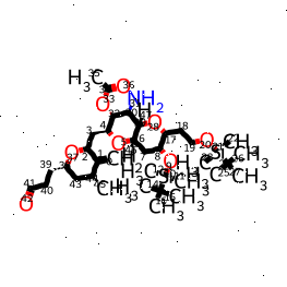 C=C1C(C[C@@H]2O[C@H]3CC(O[Si](C)(C)C(C)(C)C)C(CCO[Si](C)(C)C(C)(C)C)O[C@H]3[C@H](N)[C@H]2OC(C)=O)O[C@@H](CCC=O)C[C@H]1C